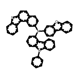 c1ccc(-n2c3ccccc3c3c(N(c4ccc5c(c4)oc4ccccc45)c4ccc5ccc6sc7ccccc7c6c5c4)cccc32)cc1